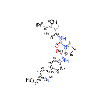 Cc1cc(NC(=O)N2CCC[C@@H]2C(=O)Nc2ccc(-c3ccc(C(=O)O)nc3)cc2)ccc1C(C)C